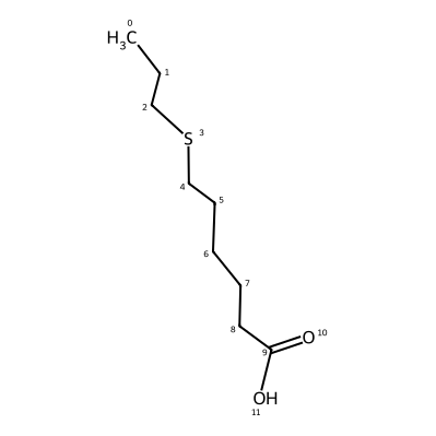 CCCSCCCCCC(=O)O